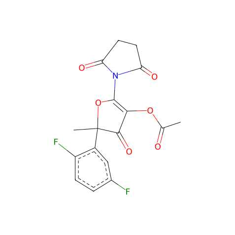 CC(=O)OC1=C(N2C(=O)CCC2=O)OC(C)(c2cc(F)ccc2F)C1=O